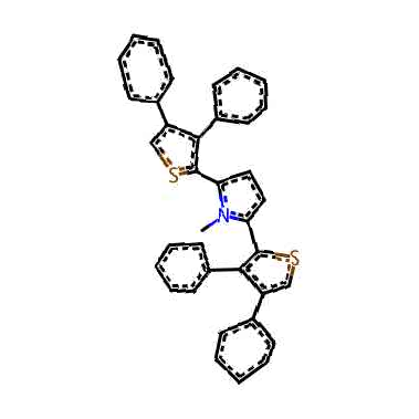 Cn1c(-c2scc(-c3ccccc3)c2-c2ccccc2)ccc1-c1scc(-c2ccccc2)c1-c1ccccc1